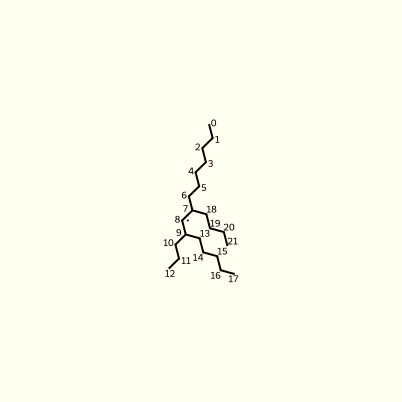 CCCCCCCC([CH]C(CCC)CCCCC)CCCC